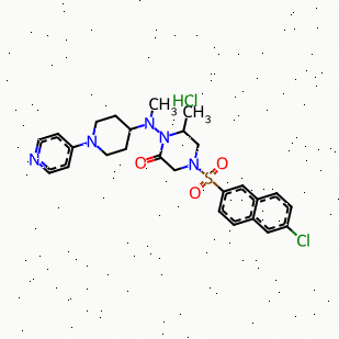 CC1CN(S(=O)(=O)c2ccc3cc(Cl)ccc3c2)CC(=O)N1N(C)C1CCN(c2ccncc2)CC1.Cl